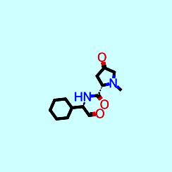 CN1CC(=O)C[C@H]1C(=O)N[C@H](C=O)C1CCCCC1